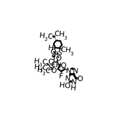 C=C(C)[C@@H]1CC[C@]2(C)SP(=S)(OC[C@H]3O[C@@H](n4cnc5c(=O)[nH]c(O)nc54)[C@H](F)[C@@H]3O[Si](C)(C)C(C)(C)C)O[C@H]2C1